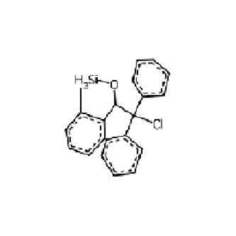 Cc1ccccc1C(O[SiH3])C(Cl)(c1ccccc1)c1ccccc1